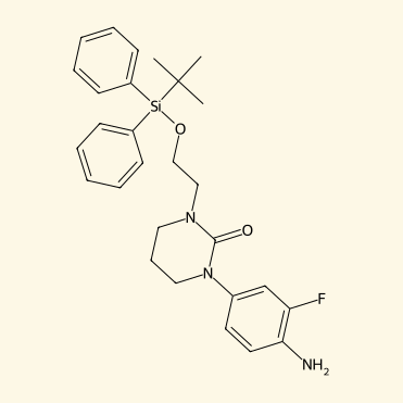 CC(C)(C)[Si](OCCN1CCCN(c2ccc(N)c(F)c2)C1=O)(c1ccccc1)c1ccccc1